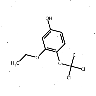 CCOc1cc(O)ccc1OC(Cl)(Cl)Cl